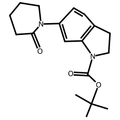 CC(C)(C)OC(=O)N1CCc2ccc(N3CCCCC3=O)cc21